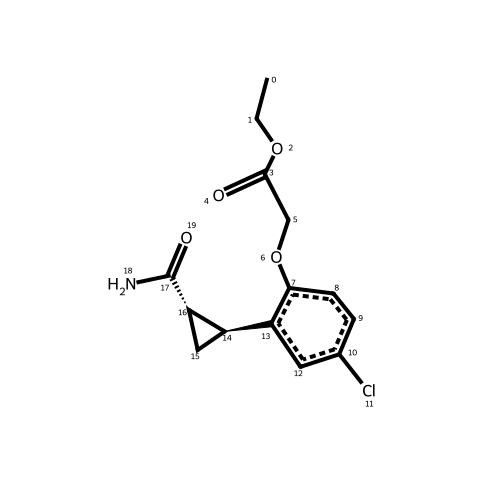 CCOC(=O)COc1ccc(Cl)cc1[C@H]1C[C@@H]1C(N)=O